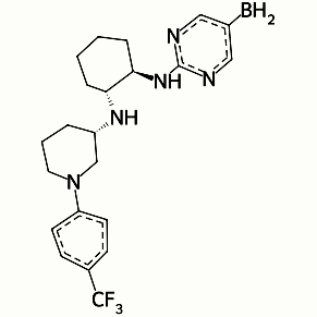 Bc1cnc(N[C@@H]2CCCC[C@H]2N[C@H]2CCCN(c3ccc(C(F)(F)F)cc3)C2)nc1